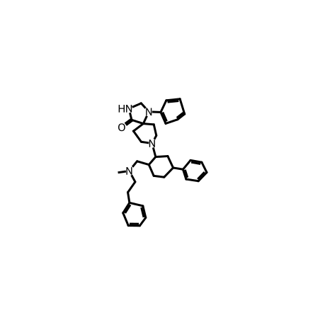 CN(CCc1ccccc1)CC1CCC(c2ccccc2)CC1N1CCC2(CC1)C(=O)NCN2c1ccccc1